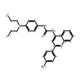 O=C(Nc1ccc(N(CCCl)CCCl)cc1)Nc1cc(-c2ccc(Br)cc2)nc2ccccc12